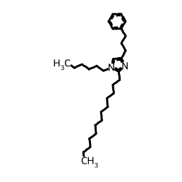 CCCCCCCCCCCCCc1nc(CCCc2ccccc2)cn1CCCCCC